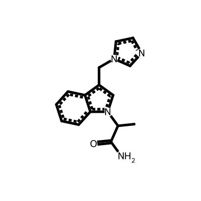 CC(C(N)=O)n1cc(Cn2ccnc2)c2ccccc21